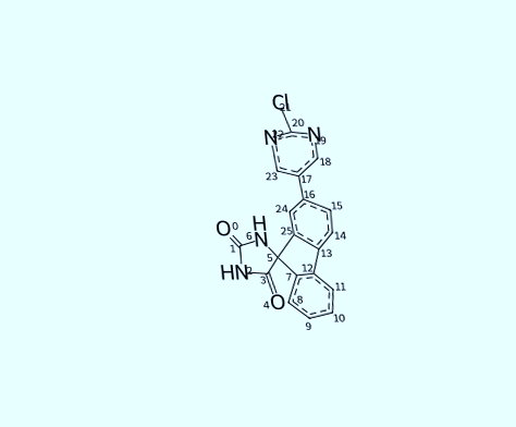 O=C1NC(=O)C2(N1)c1ccccc1-c1ccc(-c3cnc(Cl)nc3)cc12